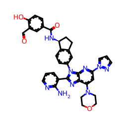 Nc1ncccc1-c1nc2c(N3CCOCC3)cc(-n3cccn3)nc2n1-c1ccc2c(c1)CC[C@@H]2NC(=O)c1ccc(O)c(C=O)c1